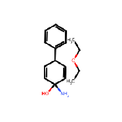 CCOCC.NC1(O)C=CC(c2ccccc2)C=C1